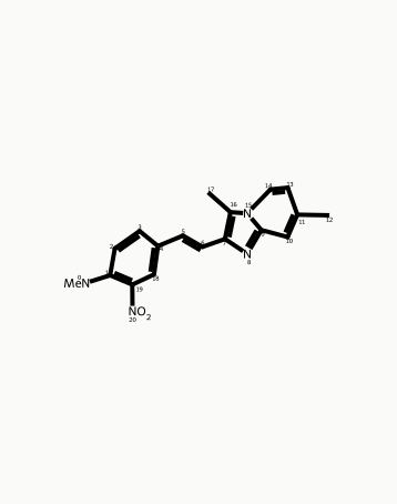 CNc1ccc(C=Cc2nc3cc(C)ccn3c2C)cc1[N+](=O)[O-]